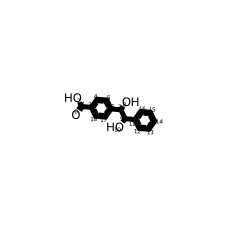 O=C(O)c1ccc(C(O)C(O)c2ccccc2)cc1